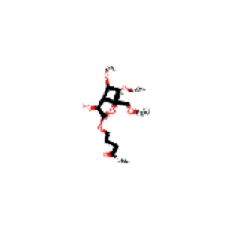 CCCCOCC12O[C@@H](OC/C=C/C(=O)OC)C(O)C1C(OCCCC)[C@@H]2OCCCC